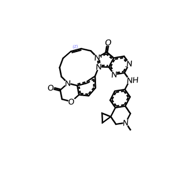 CN1Cc2cc(Nc3ncc4c(=O)n5n(c4n3)-c3ccc4c(c3)N(CCC/C=C\C5)C(=O)CO4)ccc2C2(CC2)C1